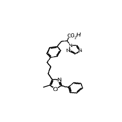 Cc1oc(-c2ccccc2)nc1CCCc1ccc(CC(C(=O)O)n2cncn2)cc1